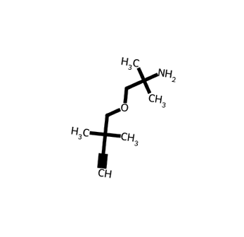 C#CC(C)(C)COCC(C)(C)N